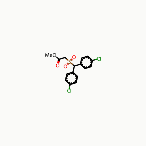 COC(=O)CS(=O)(=O)C(c1ccc(Cl)cc1)c1ccc(Cl)cc1